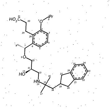 CC(C)Oc1cccc([C@@H](C)OC[C@H](O)CNC(C)(C)CC2Cc3ccccc3C2)c1CCC(=O)O